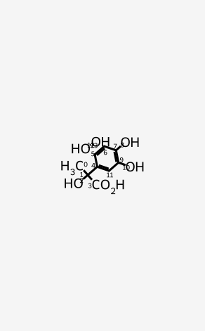 CC(O)(C(=O)O)c1ccc(O)c(O)c1.OO